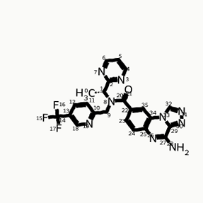 C[C@H](c1ncccn1)N(Cc1ccc(C(F)(F)F)cn1)C(=O)c1ccc2nc(N)c3nncn3c2c1